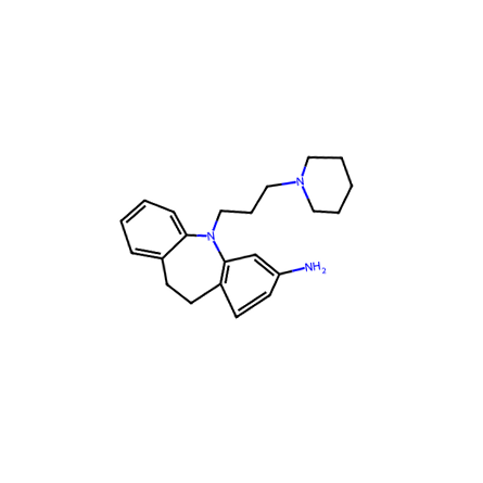 Nc1ccc2c(c1)N(CCCN1CCCCC1)c1ccccc1CC2